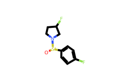 [O-][S+](c1ccc(F)cc1)N1CCC(F)C1